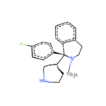 O=C(O)N1CCc2ccccc2[C@@]1(c1ccc(F)cc1)[C@H]1CCNC1